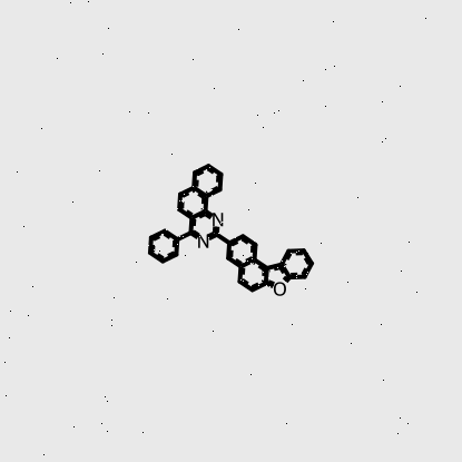 c1ccc(-c2nc(-c3ccc4c(ccc5oc6ccccc6c54)c3)nc3c2ccc2ccccc23)cc1